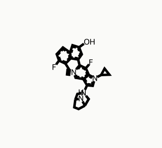 C#Cc1c(F)ccc2cc(O)cc(-c3ncc4c(N5CC6CCC(C5)N6)cn(C5CC5)c4c3F)c12